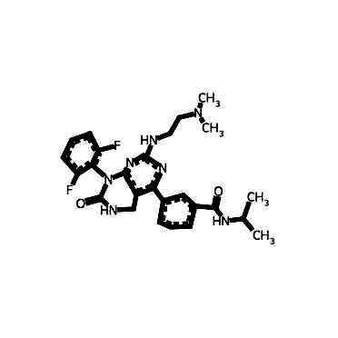 CC(C)NC(=O)c1cccc(-c2nc(NCCN(C)C)nc3c2CNC(=O)N3c2c(F)cccc2F)c1